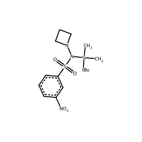 CC(C)(C)[Si](C)(C)N(N1CCC1)S(=O)(=O)c1cccc([N+](=O)[O-])c1